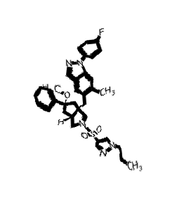 CCCn1cc(S(=O)(=O)N2C[C@@H]3C[C@@](OC)(c4ccccc4)C[C@]3(Cc3cc4cnn(-c5ccc(F)cc5)c4cc3C)C2)cn1